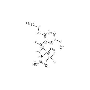 C#CCOc1ccc(C=O)c(OC2(C(C)(C)C)CCN2C(=O)O)c1OC